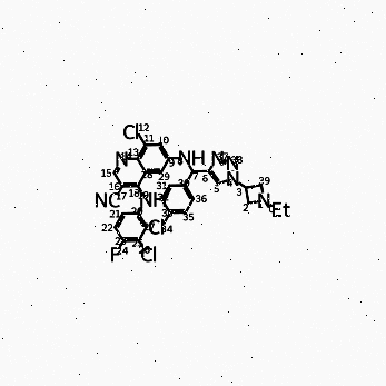 CCN1CC(n2cc(C(Nc3cc(Cl)c4ncc(C#N)c(Nc5ccc(F)c(Cl)c5)c4c3)c3ccc(Cl)cc3)nn2)C1